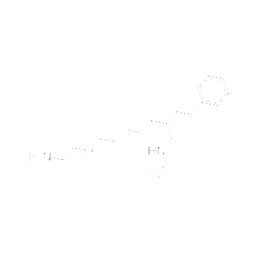 NCCOCCOCCC(CCc1ccccc1)CNC=O